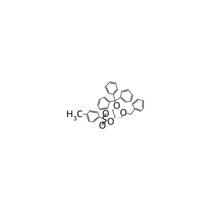 Cc1ccc(S(=O)(=O)O[C@@H](COCc2ccccc2)COC(c2ccccc2)(c2ccccc2)c2ccccc2)cc1